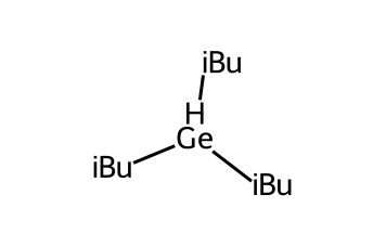 CC[CH](C)[GeH]([CH](C)CC)[CH](C)CC